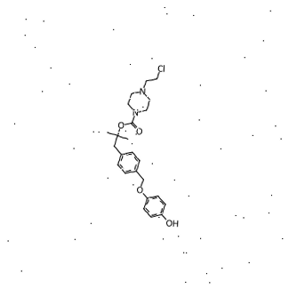 CC(C)(Cc1ccc(COc2ccc(O)cc2)cc1)OC(=O)N1CCN(CCCl)CC1